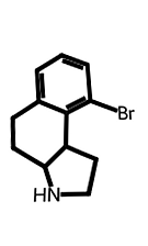 Brc1cccc2c1C1CCNC1CC2